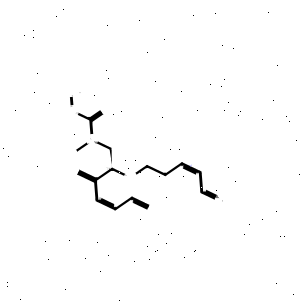 C=C/C=C\C(=C)[C@@H](CN(C)C(=O)OC(C)(C)C)OCC/C=C\C=N